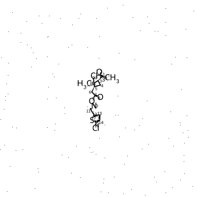 CC(=O)[C@H]1C[C@@H](CC(=O)ON=Cc2ccc(Cl)s2)C1(C)C